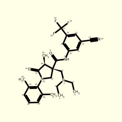 CCN(CC)C[C@@]1(C(=O)Nc2cc(C#N)cc(C(F)(F)F)c2)CN(c2c(C)cccc2C)C(=O)[C@H]1C